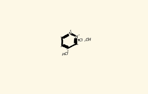 Cl.Cl.Cl.c1ccnnc1